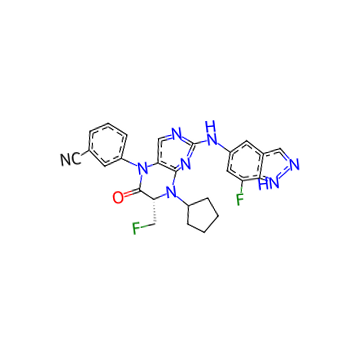 N#Cc1cccc(N2C(=O)[C@@H](CF)N(C3CCCC3)c3nc(Nc4cc(F)c5[nH]ncc5c4)ncc32)c1